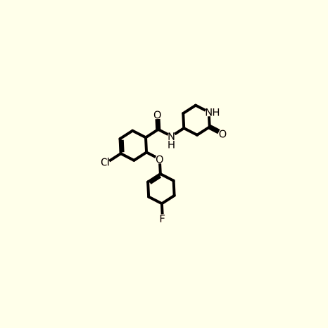 O=C1CC(NC(=O)C2CC=C(Cl)CC2OC2=CCC(F)CC2)CCN1